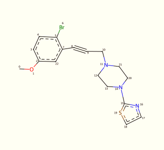 COc1ccc(Br)c(C#CCN2CCN(c3nccs3)CC2)c1